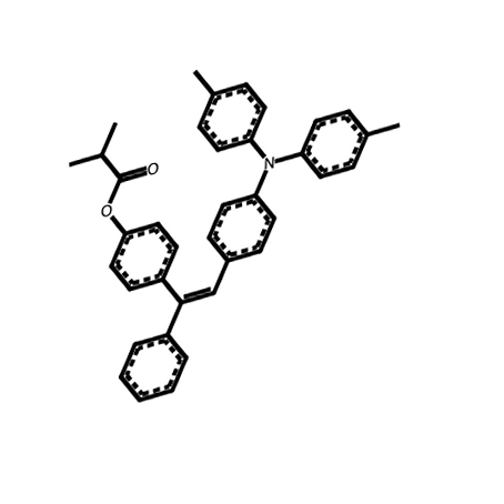 Cc1ccc(N(c2ccc(C)cc2)c2ccc(C=C(c3ccccc3)c3ccc(OC(=O)C(C)C)cc3)cc2)cc1